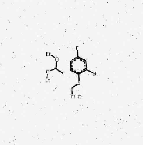 CCOC(C)OCC.O=CCSc1ccc(F)cc1Br